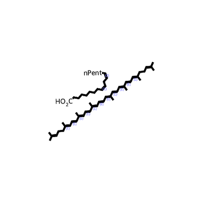 CC(C)=CCC/C(C)=C/C=C/C(C)=C/C=C/C(C)=C/C=C/C=C(C)/C=C/C=C(C)/C=C/C=C(\C)CCC=C(C)C.CCCCC/C=C\C/C=C\CCCCCCCC(=O)O